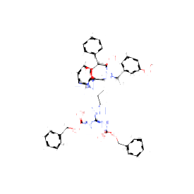 COc1cccc([C@@H](C)N(C(=O)C(c2ccccc2)c2ccccc2)[C@H](CCCNC(=NC(=O)OCc2ccccc2)NC(=O)OCc2ccccc2)C(N)=O)c1